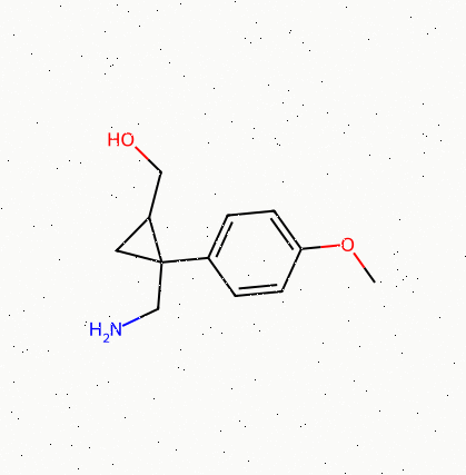 COc1ccc(C2(CN)CC2CO)cc1